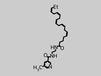 CC/C=C\C/C=C\C/C=C\C/C=C\C/C=C\CCCC(=O)NCCNC(=O)c1cncc(C)c1